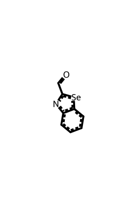 O=Cc1nc2ccccc2[se]1